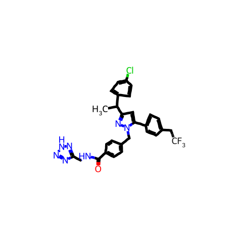 CC(c1ccc(Cl)cc1)c1cc(-c2ccc(CC(F)(F)F)cc2)n(Cc2ccc(C(=O)NCc3nn[nH]n3)cc2)n1